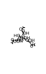 C=C(C)C(=O)OCC(O)COCC(O)C(O)C(OCC(O)COC(=O)C(=C)C)C(CO)OCC(O)COC(=O)C(=C)C